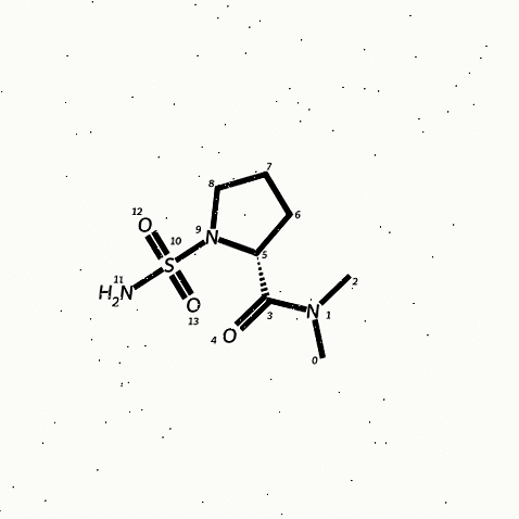 CN(C)C(=O)[C@H]1CCCN1S(N)(=O)=O